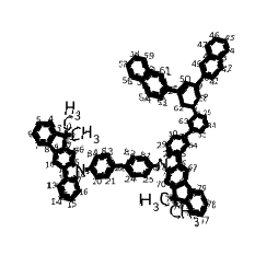 CC1(C)c2ccccc2-c2cc3c4ccccc4n(-c4ccc(-c5ccc(-n6c7ccc(-c8cccc(C9C=C(c%10ccc%11ccccc%11c%10)C=C(c%10ccc%11ccccc%11c%10)C9)c8)cc7c7cc8c(cc76)C(C)(C)c6ccccc6-8)cc5)cc4)c3cc21